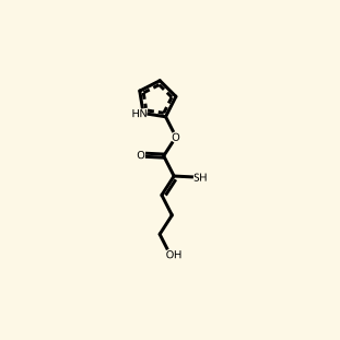 O=C(Oc1ccc[nH]1)C(S)=CCCO